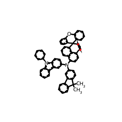 CC1(C)c2ccccc2-c2cc(N(c3ccc4c(c3)c3ccccc3n4-c3ccccc3)c3ccc4c5c(cccc35)C3(c5ccccc5Oc5ccccc53)c3ccccc3-4)ccc21